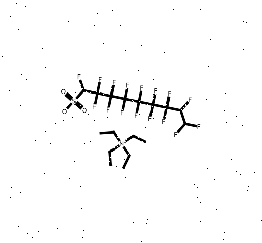 CC[N+](CC)(CC)CC.O=S(=O)([O-])C(F)C(F)(F)C(F)(F)C(F)(F)C(F)(F)C(F)(F)C(F)(F)C(F)C(F)F